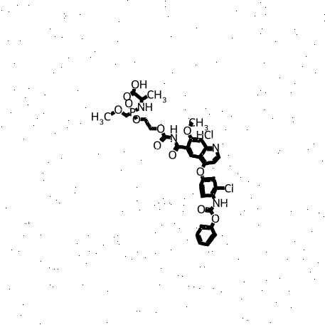 COCP(=O)(NC(C)C(=O)O)OCCOC(=O)NC(=O)c1cc2c(Oc3ccc(NC(=O)Oc4ccccc4)c(Cl)c3)ccnc2cc1OC.Cl